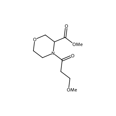 COCCC(=O)N1CCOCC1C(=O)OC